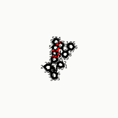 c1ccc(-c2ccccc2-c2c(-c3ccccc3)cccc2N(c2ccc(-c3cccc4c5ccccc5n(-c5ccccc5)c34)cc2)c2ccc3ccccc3c2)cc1